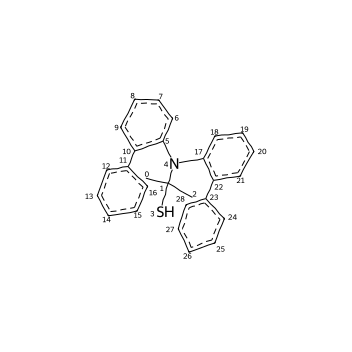 CC(C)(S)N(c1ccccc1-c1ccccc1)c1ccccc1-c1ccccc1